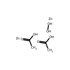 CC(=O)O.CC(=O)O.OO.[Zn].[Zn]